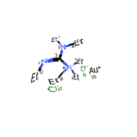 CCN=C(N(CC)CC)[N+](CC)(CC)CC.[Au+].[Cl-].[Cl-]